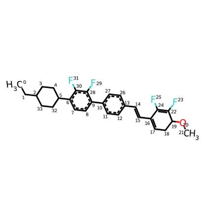 CCC1CCC(c2ccc(-c3ccc(/C=C/C4=CCC(OC)C(F)=C4F)cc3)c(F)c2F)CC1